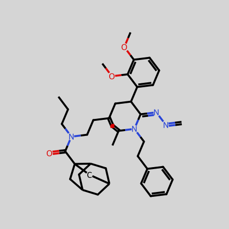 C=N/N=C(/C(CC(=C)CCN(CCC)C(=O)C12CC3CC(CC1C3)C2)c1cccc(OC)c1OC)N(CCc1ccccc1)C(=C)C